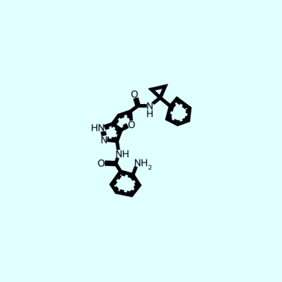 Nc1ccccc1C(=O)Nc1n[nH]c2cc(C(=O)NC3(c4ccccc4)CC3)oc12